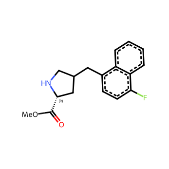 COC(=O)[C@H]1CC(Cc2ccc(F)c3ccccc23)CN1